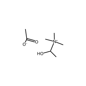 CC(=O)[O-].CC(O)[N+](C)(C)C